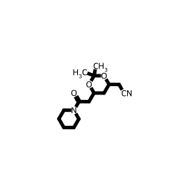 CC1(C)OC(CC#N)CC(CC(=O)N2CCCCC2)O1